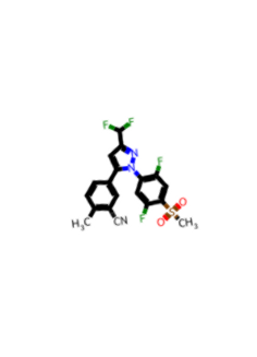 Cc1ccc(-c2cc(C(F)F)nn2-c2cc(F)c(S(C)(=O)=O)cc2F)cc1C#N